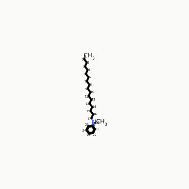 CCCCCCCCCCCCCCCCCCN(C)c1cc[c]cc1